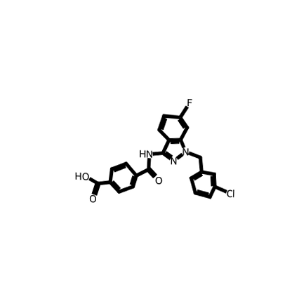 O=C(O)c1ccc(C(=O)Nc2nn(Cc3cccc(Cl)c3)c3cc(F)ccc23)cc1